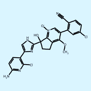 COc1c(-c2cc(Cl)ccc2C#N)c[n+]([O-])c2c1CCC2(O)c1nc(-c2ccc(N)nc2Cl)c[nH]1